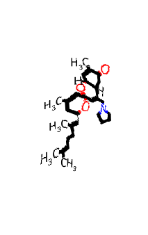 CC(C)=CCC/C(C)=C/[C@@H]1CC(C)=C[C@]2(C=C(CN3CCCC3)[C@H]3CC(=O)C(C)=C[C@H]3O2)O1